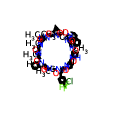 CC[C@H](C)[C@@H]1NC(=O)[C@H](CC2CC2)N(C)C(=O)C[C@@H](C(=O)N2CCCCC2)N(C)C(=O)[C@H](C2CCCCC2)N(C)C(=O)C2(CCCC2)NC(=O)[C@@H]2CCCN2C(=O)[C@H](CCc2ccc(C(F)(F)F)c(Cl)c2)NC(=O)CN(C)C(=O)[C@H](CC2CCCCC2)N(C)C(=O)CN(C)C(=O)CN(C)C1=O